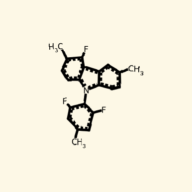 Cc1cc(F)c(-n2c3ccc(C)cc3c3c(F)c(C)ccc32)c(F)c1